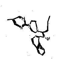 CCCC(Nc1nccc2ccccc12)N1CCN(c2ncc(C)cn2)CC1